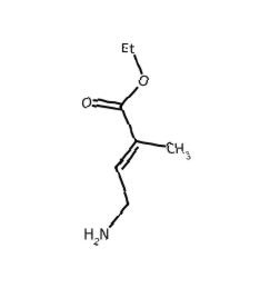 CCOC(=O)/C(C)=C/CN